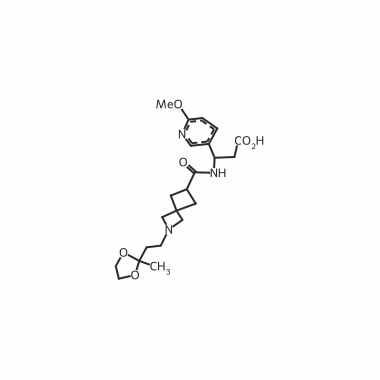 COc1ccc(C(CC(=O)O)NC(=O)C2CC3(C2)CN(CCC2(C)OCCO2)C3)cn1